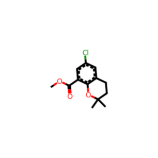 COC(=O)c1cc(Cl)cc2c1OC(C)(C)CC2